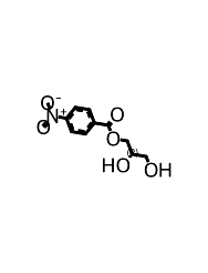 O=C(OC[C@H](O)CO)c1ccc([N+](=O)[O-])cc1